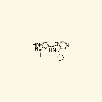 O=C(N[C@H](c1cnccn1)C1CCCC1)c1ccc2[nH]nc(I)c2c1